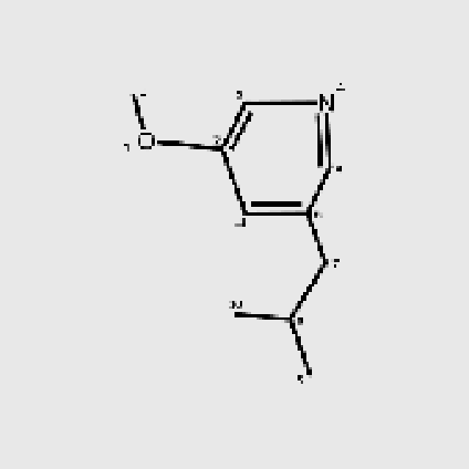 COc1cncc(CC(C)C)c1